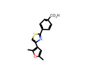 Cc1cc(-c2csc(-c3ccc(C(=O)O)cc3)n2)c(C)o1